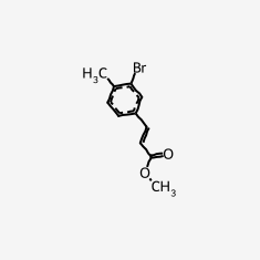 COC(=O)C=Cc1ccc(C)c(Br)c1